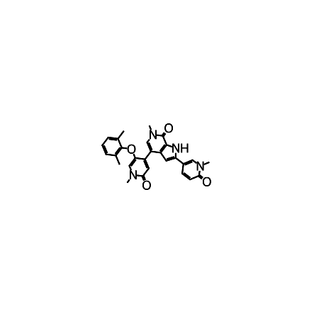 Cc1cccc(C)c1Oc1cn(C)c(=O)cc1-c1cn(C)c(=O)c2[nH]c(-c3ccc(=O)n(C)c3)cc12